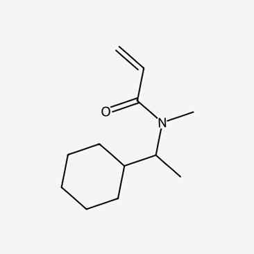 C=CC(=O)N(C)C(C)C1CCCCC1